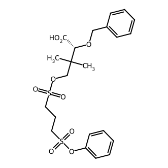 CC(C)(COS(=O)(=O)CCCS(=O)(=O)Oc1ccccc1)[C@@H](OCc1ccccc1)C(=O)O